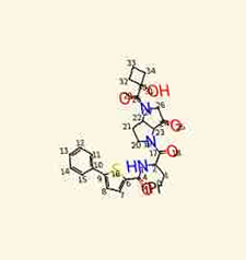 CC(C)CC(NC(=O)c1ccc(-c2ccccc2)s1)C(=O)N1CCC2C1C(=O)CN2C(=O)C1(O)CCC1